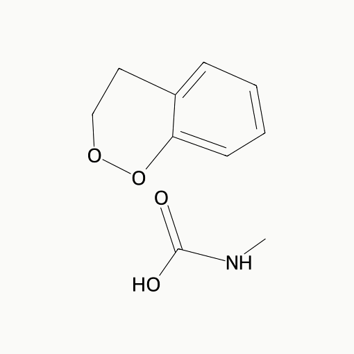 CNC(=O)O.c1ccc2c(c1)CCOO2